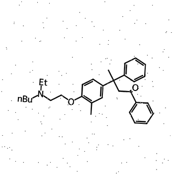 CCCCN(CC)CCOc1ccc(C(C)(CC(=O)c2ccccc2)c2ccccc2)cc1C